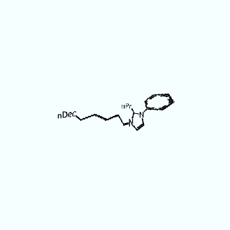 CCCCCCCCCCCCCCCN1C=CN(c2ccccc2)C1CCC